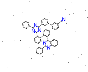 N#Cc1cccc(-c2cccc(-c3nc(-c4ccccc4)nc(-c4ccccc4-c4ccccc4-c4nc(-c5ccccc5)nc5ccccc45)n3)c2)c1